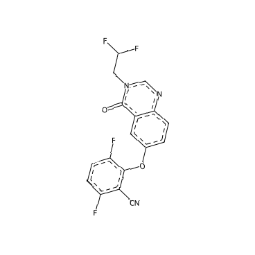 N#Cc1c(F)ccc(F)c1Oc1ccc2ncn(CC(F)F)c(=O)c2c1